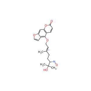 C/C(=C\COc1c2ccoc2cc2oc(=O)ccc12)CCC(N=O)C(C)(C)O